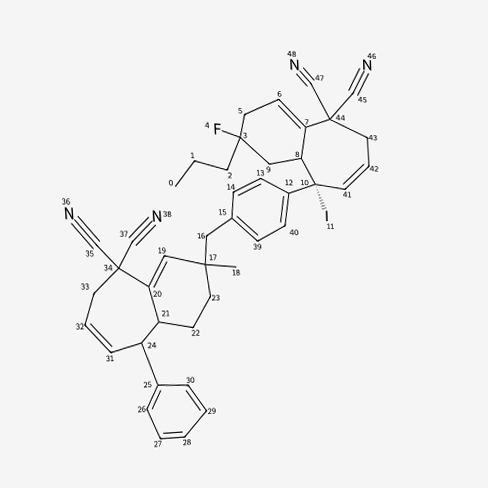 CCCC1(F)CC=C2C(C1)[C@](I)(c1ccc(CC3(C)C=C4C(CC3)C(c3ccccc3)C=CCC4(C#N)C#N)cc1)C=CCC2(C#N)C#N